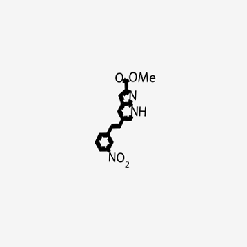 COC(=O)c1cc2cc(C=Cc3cccc([N+](=O)[O-])c3)c[nH]c-2n1